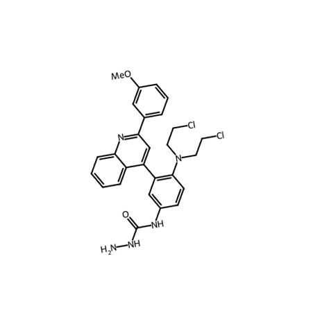 COc1cccc(-c2cc(-c3cc(NC(=O)NN)ccc3N(CCCl)CCCl)c3ccccc3n2)c1